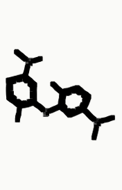 Cc1ccc(N(C)C)cc1Sc1cc(N(C)C)ccc1C